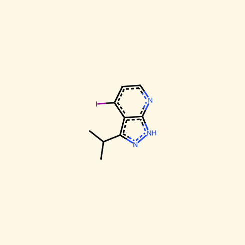 CC(C)c1n[nH]c2nccc(I)c12